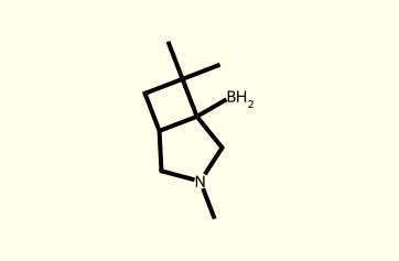 BC12CN(C)CC1CC2(C)C